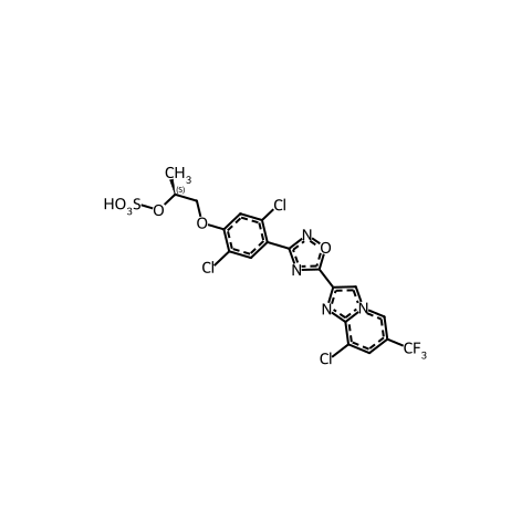 C[C@@H](COc1cc(Cl)c(-c2noc(-c3cn4cc(C(F)(F)F)cc(Cl)c4n3)n2)cc1Cl)OS(=O)(=O)O